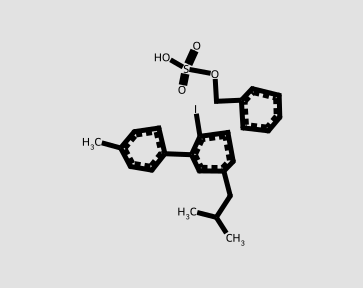 Cc1ccc(-c2cc(CC(C)C)ccc2I)cc1.O=S(=O)(O)OCc1ccccc1